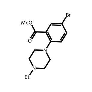 CCN1CCN(c2ccc(Br)cc2C(=O)OC)CC1